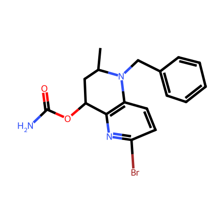 CC1CC(OC(N)=O)c2nc(Br)ccc2N1Cc1ccccc1